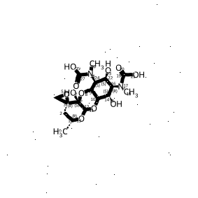 C[C@@H]1C[C@@]2(CO2)[C@]2(O)OC3C(OC2O1)[C@@H](O)[C@H](N(C)C(=O)O)[C@H](O)[C@@H]3N(C)C(=O)O